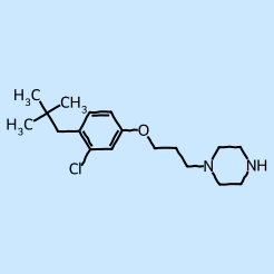 CC(C)(C)Cc1ccc(OCCCN2CCNCC2)cc1Cl